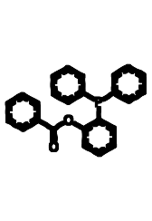 O=C(Oc1ccccc1P(c1ccccc1)c1ccccc1)c1ccccc1